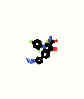 NC1CCC(C2CCc3c(n(-c4ccc(F)cc4F)c4s[nH]c(=O)c4c3=O)C2)C1